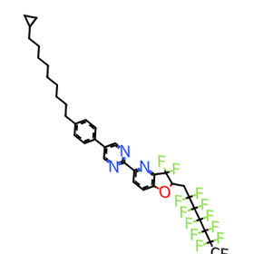 FC1(F)c2nc(-c3ncc(-c4ccc(CCCCCCCCCC5CC5)cc4)cn3)ccc2OC1CC(F)(F)C(F)(F)C(F)(F)C(F)(F)C(F)(F)C(F)(F)F